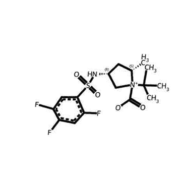 C[C@H]1C[C@@H](NS(=O)(=O)c2cc(F)c(F)cc2F)C[N+]1(C(=O)[O-])C(C)(C)C